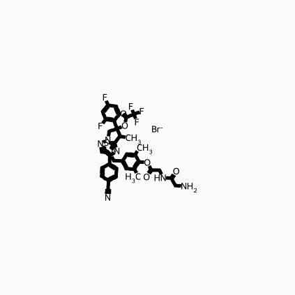 Cc1cc(C[n+]2cnn(CC(OC(=O)C(F)(F)F)(c3ccc(F)cc3F)C(C)c3nc(-c4ccc(C#N)cc4)cs3)c2)cc(C)c1OC(=O)CNC(=O)CN.[Br-]